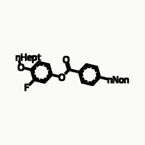 CCCCCCCCCc1ccc(C(=O)Oc2ccc(OCCCCCCC)c(F)c2)cc1